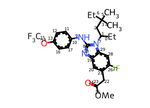 CCC(CC(C)(C)CC)n1c(Nc2ccc(OC(F)(F)F)cc2)nc2cc(CC(=O)OC)c(F)cc21